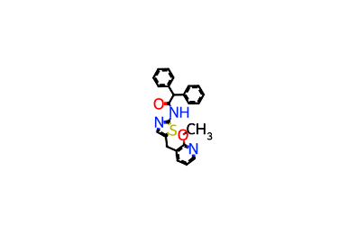 COc1ncccc1Cc1cnc(NC(=O)C(c2ccccc2)c2ccccc2)s1